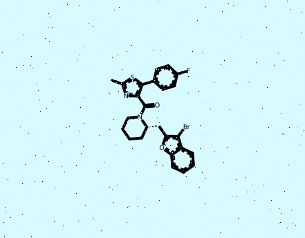 Cc1nc(C(=O)N2CCCC[C@H]2Cc2oc3ccccc3c2Br)c(-c2ccc(F)cc2)s1